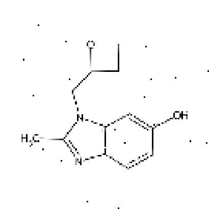 Cc1nc2ccc(O)cc2n1CC1CCO1